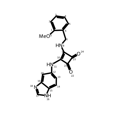 COc1ccccc1CNc1c(Nc2ccc3[nH]cnc3c2)c(=O)c1=O